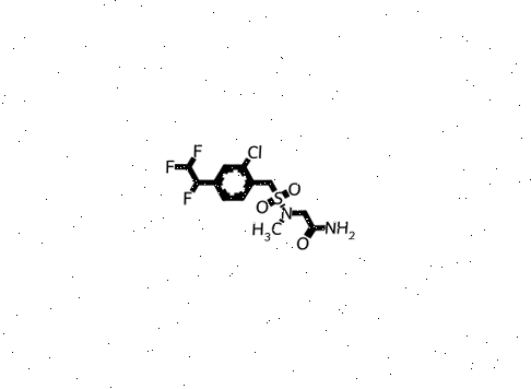 CN(CC(N)=O)S(=O)(=O)Cc1ccc(C(F)C(F)F)cc1Cl